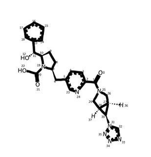 O=C(c1ccc(C[C@@H]2CC[C@H]([C@H](O)c3ccccc3)N2C(=O)O)cn1)N1C[C@@H]2[C@H](C1)[C@@H]2n1cnnn1